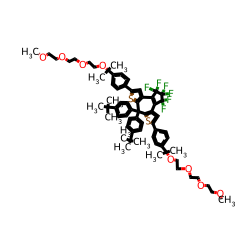 COCCOCCOCCOC(C)(C)c1ccc(-c2cc3c(s2)C(c2ccc(C(C)(C)C)cc2)(c2ccc(C(C)(C)C)cc2)c2sc(-c4ccc(C(C)(C)OCCOCCOCCOC)cc4)cc2C2=C3C(F)(F)C(F)(F)C2(F)F)cc1